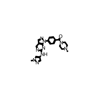 CN1CCN(C(=O)c2ccc(-n3ncc4cnc(Nc5cnn(C)c5)nc43)cc2)CC1